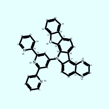 c1ccc(-c2cc(-n3c4ccc5nccnc5c4c4ccc5c6ccccc6oc5c43)cc(-c3ccccn3)n2)nc1